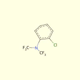 FC(F)(F)N(c1ccccc1Cl)C(F)(F)F